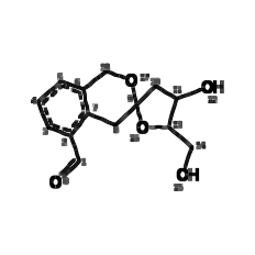 O=Cc1cccc2c1CC1(CC(O)C(CO)O1)OC2